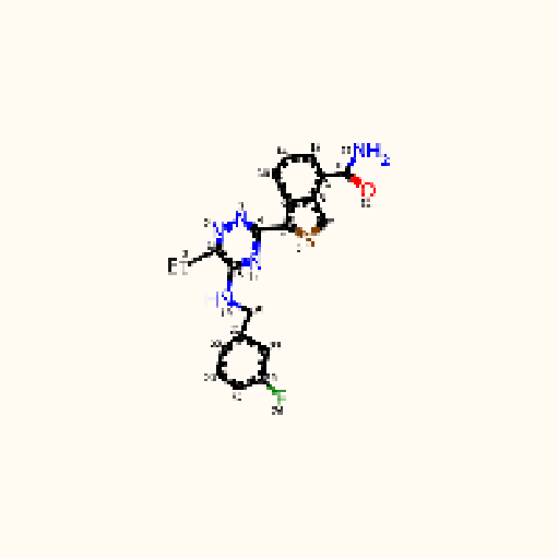 CCc1nnc(-c2scc3c(C(N)=O)cccc23)nc1NCc1cccc(F)c1